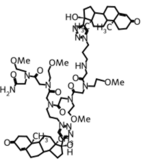 COCCN(CC(N)=O)C(=O)CN(CCOC)C(=O)CN(CCCn1cc([C@]2(O)CCC3C4CCC5=CC(=O)CC[C@]5(C)C4CC[C@@]32C)nn1)C(=O)CN(CCOC)C(=O)CN(CCOC)C(=O)CNCCCn1cc([C@]2(O)CCC3C4CCC5=CC(=O)CC[C@]5(C)C4CC[C@@]32C)nn1